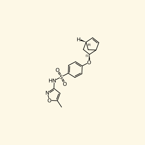 Cc1cc(NS(=O)(=O)c2ccc(O[C@H]3C[C@@H]4C=CC3C4)cc2)no1